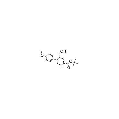 COc1ccc([C@@H]2C[C@@H](C)N(C(=O)OC(C)(C)C)C[C@H]2CO)cc1